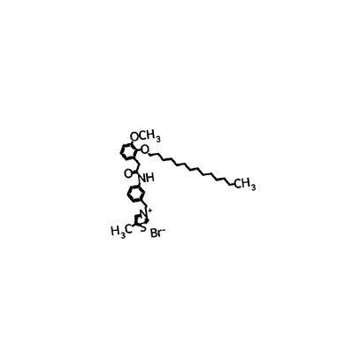 CCCCCCCCCCCCCCOc1c(CC(=O)Nc2cccc(C[n+]3csc(C)c3)c2)cccc1OC.[Br-]